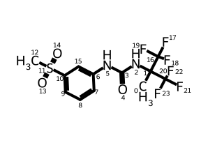 CC(NC(=O)Nc1cccc(S(C)(=O)=O)c1)(C(F)(F)F)C(F)(F)F